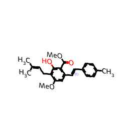 COC(=O)c1c(/C=C/c2ccc(C)cc2)cc(OC)c(CC=C(C)C)c1O